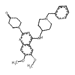 COc1cc2nc(N3CCC(=O)CC3)nc(NC3CCN(Cc4ccccc4)CC3)c2cc1OC